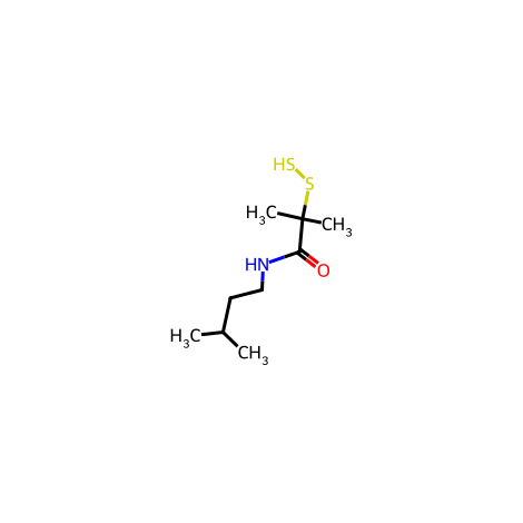 CC(C)CCNC(=O)C(C)(C)SS